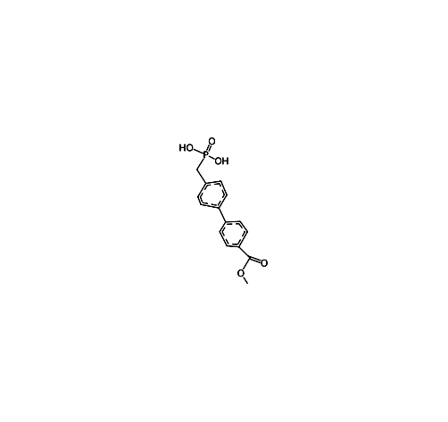 COC(=O)c1ccc(-c2ccc(CP(=O)(O)O)cc2)cc1